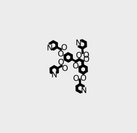 O=C(Oc1ccc2c(=O)c(OC(=O)c3cccnc3)c(-c3ccc(OC(=O)c4cccnc4)c(OC(=O)c4cccnc4)c3)oc2c1)c1cccnc1